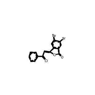 O=C(C=C1OC(=O)c2cc(Br)c(Br)cc21)c1ccccc1